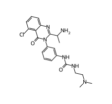 CC(N)c1nc2cccc(Cl)c2c(=O)n1-c1cccc(NC(=O)NCCN(C)C)c1